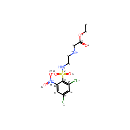 CCOC(=O)CNCCNS(=O)(=O)c1c(Cl)cc(Cl)cc1[N+](=O)[O-]